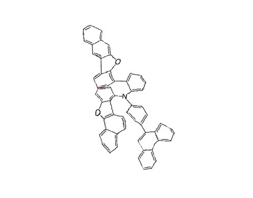 c1ccc(N(c2ccc(-c3cc4ccccc4c4ccccc34)cc2)c2cccc3oc4c5ccccc5ccc4c23)c(-c2cccc3c2oc2cc4ccccc4cc23)c1